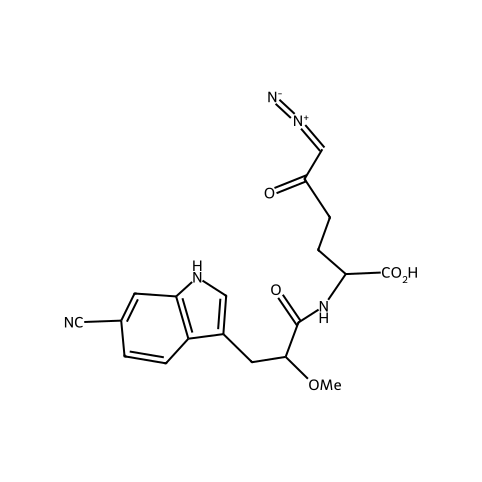 COC(Cc1c[nH]c2cc(C#N)ccc12)C(=O)NC(CCC(=O)C=[N+]=[N-])C(=O)O